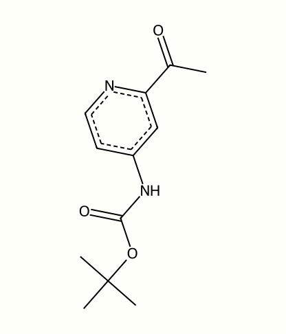 CC(=O)c1cc(NC(=O)OC(C)(C)C)ccn1